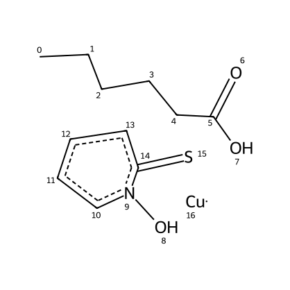 CCCCCC(=O)O.On1ccccc1=S.[Cu]